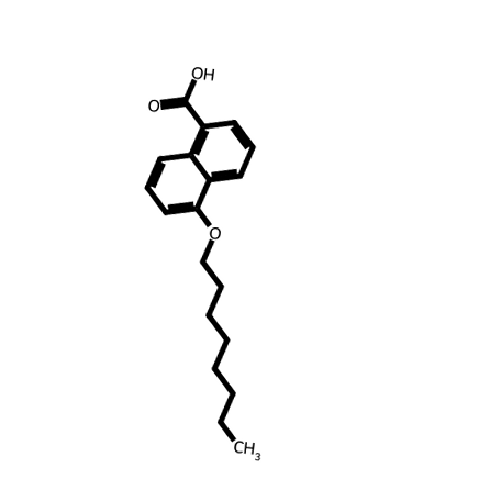 CCCCCCCCOc1cccc2c(C(=O)O)cccc12